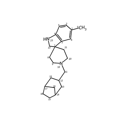 Cc1ccc2c(c1)C1(CCN(CC3CC4CCC(C4)C3)CC1)CN2